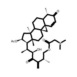 C=C(C(=O)[C@H](O)[C@@H](C)[C@H]1[C@@H](OC(C)=O)C[C@@]2(C)C3CCC4[C@H](C)C(=O)C=C[C@@]45C[C@@]35CC[C@]12C)[C@@H](C)COC(=O)CN(C)C